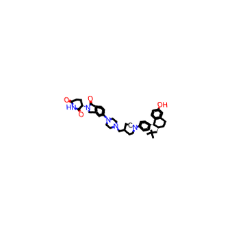 CC(C)(C)C[C@H]1CCc2cc(O)ccc2[C@H]1c1ccc(N2CCC(CN3CCN(c4ccc5c(c4)CN([C@H]4CCC(=O)NC4=O)C5=O)CC3)CC2)cc1